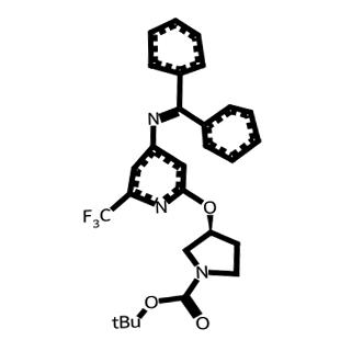 CC(C)(C)OC(=O)N1CC[C@H](Oc2cc(N=C(c3ccccc3)c3ccccc3)cc(C(F)(F)F)n2)C1